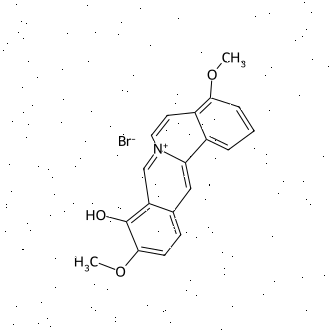 COc1ccc2cc3c4cccc(OC)c4cc[n+]3cc2c1O.[Br-]